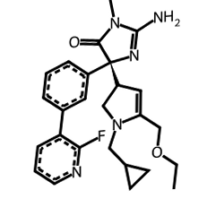 CCOCC1=CC([C@]2(c3cccc(-c4cccnc4F)c3)N=C(N)N(C)C2=O)CN1CC1CC1